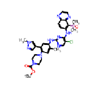 Cc1cc(N2CCN(C(=O)OC(C)(C)C)CC2)c(-c2cnn(C)c2)cc1Nc1ncc(Cl)c(Nc2ccc3nccnc3c2P(C)(C)=O)n1